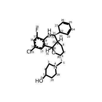 OC1CCN(C[C@H]2CC[C@@H]3[C@H](O2)c2cc(Cl)cc(F)c2N[C@H]3C2C=CC=CC2)CC1